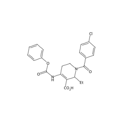 CCC1C(C(=O)O)=C(NC(=O)Oc2ccccc2)CCN1C(=O)c1ccc(Cl)cc1